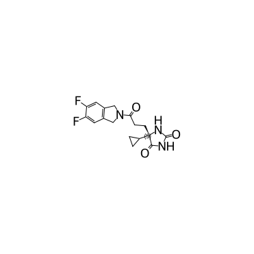 O=C1NC(=O)[C@](CCC(=O)N2Cc3cc(F)c(F)cc3C2)(C2CC2)N1